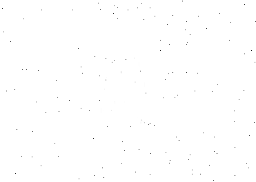 N#Cc1c(Br)cc(F)c(O)c1F